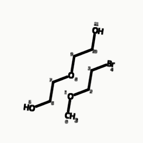 COCCBr.OCCOCCO